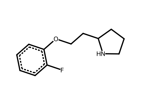 Fc1ccccc1OCCC1CCCN1